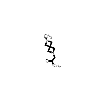 CN1CC2(C1)CN(CC(N)=O)C2